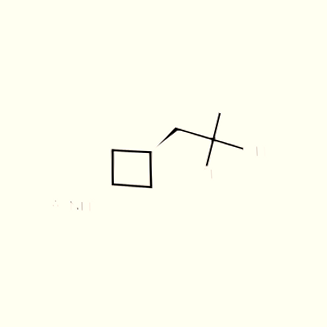 CCC(C)(C)C[C@H]1C[C@H](NC(C)=O)C1